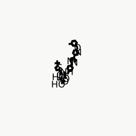 Cc1cccc(Oc2ccc(-c3cnc(-c4ccc(C[C@H](NC(=O)c5ccc(C(C)(C)C)s5)C(=O)N[C@H](C)C(=O)O)cc4)nc3)cn2)c1